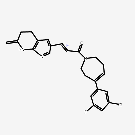 C=C1CCc2cc(/C=C/C(=O)N3CCC=C(c4cc(F)cc(Cl)c4)CC3)cnc2N1